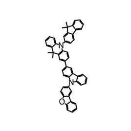 CC1(C)c2ccccc2-c2ccc(N3c4ccccc4C(C)(C)c4cc(-c5ccc6c(c5)c5ccccc5n6-c5ccc6oc7ccccc7c6c5)ccc43)cc21